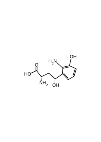 Nc1c(O)cccc1[C@H](O)C[C@H](N)C(=O)O